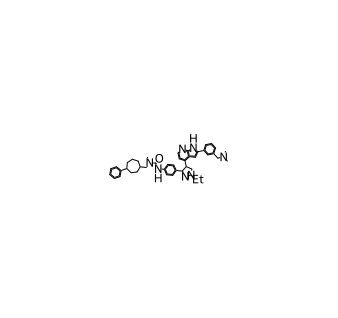 CCN1CC(c2ccnc3[nH]c(-c4cccc(CN(C)C)c4)cc23)C(c2ccc(NC(=O)N(C)CC3CCCC(c4ccccc4)CC3)cc2)=N1